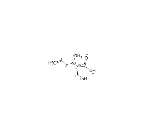 C=CCN(N)[C@H](CS)C(=O)O